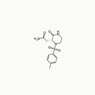 Cc1ccc(S(=O)(=O)N2CCNC(=O)[C@H]2CC(N)=O)cc1